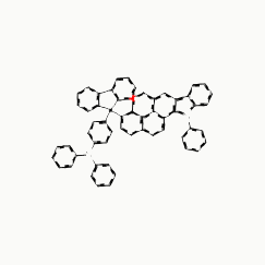 c1ccc(N(c2ccccc2)c2ccc(C3(c4ccc5ccc6c7c(ccc4c57)cc4c5ccccc5n(-c5ccccc5)c46)c4ccccc4-c4ccccc43)cc2)cc1